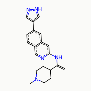 C=C(Nc1cc2cc(-c3cn[nH]c3)ccc2cn1)C1CCN(C)CC1